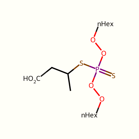 CCCCCCOOP(=S)(OOCCCCCC)SC(C)CC(=O)O